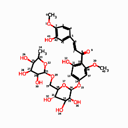 COc1ccc(/C=C/C(=O)c2c(O)cc(O[C@@H]3OC(CO[C@@H]4OC(C)[C@H](O)[C@H](O)C4O)[C@@H](O)C(O)[C@@H]3O)cc2OC)cc1O